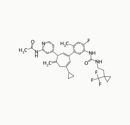 C=C1CC(C2CC2)=CC(c2cc(NC(=O)NCCC3(C(F)(F)F)CC3)c(F)cc2C)=CC1c1ccnc(NC(C)=O)c1